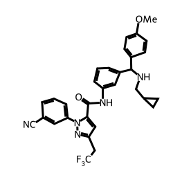 COc1ccc(C(NCC2CC2)c2cccc(NC(=O)c3cc(CC(F)(F)F)nn3-c3cccc(C#N)c3)c2)cc1